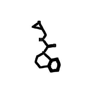 O=C(NCC1CO1)N1CCCc2ccccc21